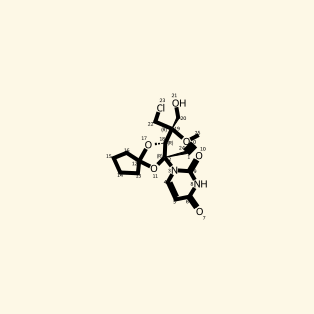 C#C[C@@]1(n2ccc(=O)[nH]c2=O)OC2(CCCC2)O[C@@H]1[C@](CO)(CCl)OC